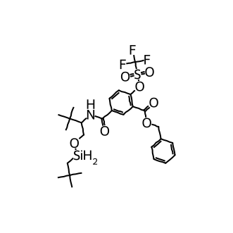 CC(C)(C)C[SiH2]OCC(NC(=O)c1ccc(OS(=O)(=O)C(F)(F)F)c(C(=O)OCc2ccccc2)c1)C(C)(C)C